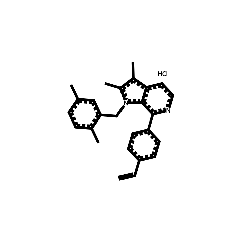 C=Cc1ccc(-c2nccc3c(C)c(C)n(Cc4cc(C)ccc4C)c23)cc1.Cl